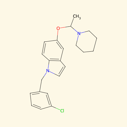 CC(Oc1ccc2c(ccn2Cc2cccc(Cl)c2)c1)N1CCCCC1